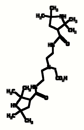 CC1(C)CC(C(=O)NCCN(CCNC(=O)C2CC(C)(C)NC2(C)C)CC(=O)O)C(C)(C)N1